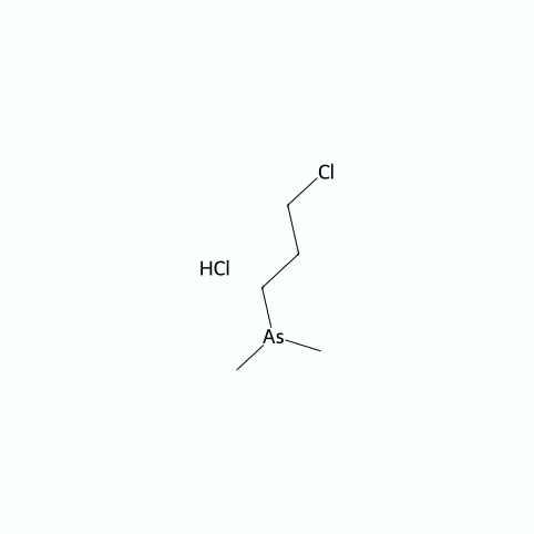 C[As](C)CCCCl.Cl